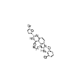 Cn1c(Nc2c(Cl)cccc2Cl)nc2ccc3nc(-c4ccc(Br)o4)[nH]c(=O)c3c21